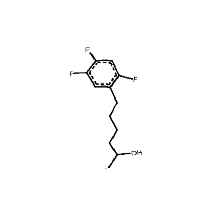 [CH2]C(O)CCCCc1cc(F)c(F)cc1F